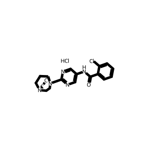 Cl.O=C(Nc1cnc(N2CCN3CCC2CC3)nc1)c1ccccc1Cl